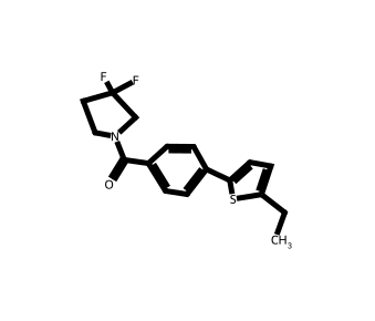 CCc1ccc(-c2ccc(C(=O)N3CCC(F)(F)C3)cc2)s1